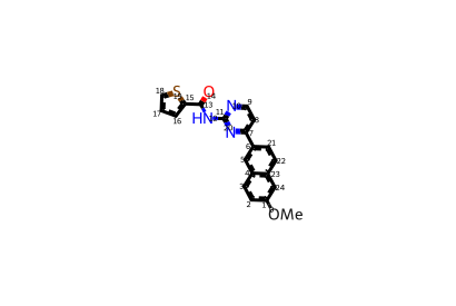 COc1ccc2cc(-c3ccnc(NC(=O)c4cccs4)n3)ccc2c1